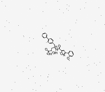 COc1ccccc1-c1cc(C(=O)NC(Cc2ccc(-c3ccccc3)cc2)CC(O)C(=O)O)on1